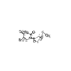 O=c1[nH]c(=O)n([C@H]2C[C@@](F)(CO)CO2)cc1Br